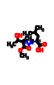 C=C(C(=O)OC)C(C)O.CC(C)C[C@@H](N)C(=O)O